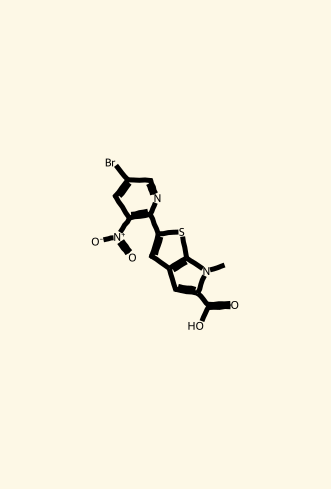 Cn1c(C(=O)O)cc2cc(-c3ncc(Br)cc3[N+](=O)[O-])sc21